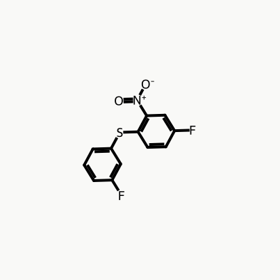 O=[N+]([O-])c1cc(F)ccc1Sc1cccc(F)c1